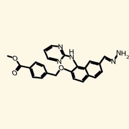 COC(=O)c1ccc(COc2ccc3ccc(C=NN)cc3c2Nc2ncccn2)cc1